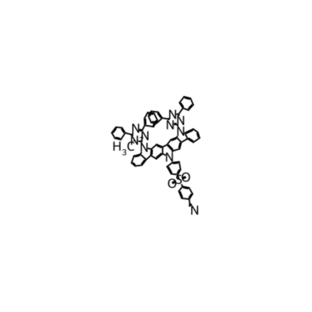 C[n+]1c(-c2ccccc2)nc(-c2ccccc2)nc1-n1c2ccccc2c2cc3c(cc21)c1cc2c(cc1n3-c1ccc(S(=O)(=O)c3ccc(C#N)cc3)cc1)c1ccccc1n2-c1nc(-c2ccccc2)nc(-c2ccccc2)n1